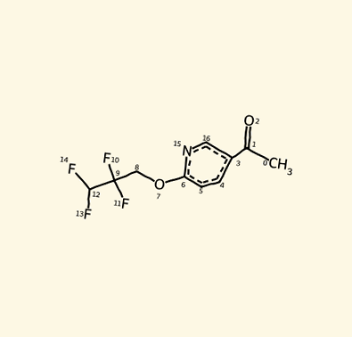 CC(=O)c1ccc(OCC(F)(F)C(F)F)nc1